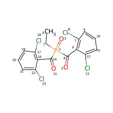 CCP(=O)(C(=O)c1c(Cl)cccc1Cl)C(=O)c1c(Cl)cccc1Cl